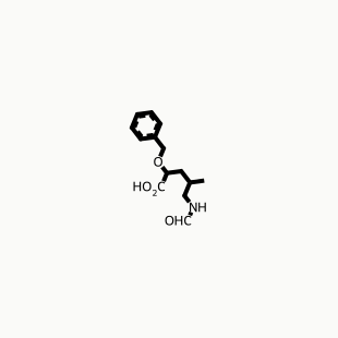 CC(CNC=O)CC(OCc1ccccc1)C(=O)O